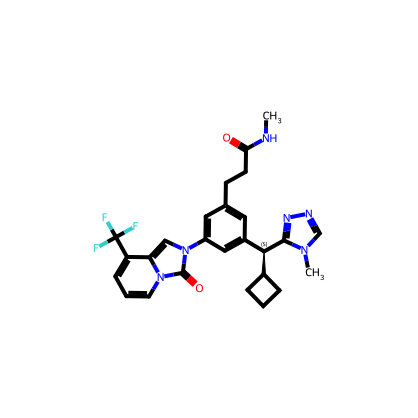 CNC(=O)CCc1cc([C@@H](c2nncn2C)C2CCC2)cc(-n2cc3c(C(F)(F)F)cccn3c2=O)c1